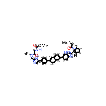 CCCN(Cc1ncc(-c2ccc(-c3ccc4cc(-c5ccc6nc([C@@H]7[C@H]8CC[C@H](C8)N7C(=O)CNC)[nH]c6c5)ccc4c3)cc2)[nH]1)C(=O)CNC(=O)OC